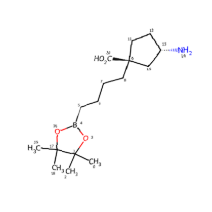 CC1(C)OB(CCCC[C@]2(C(=O)O)CC[C@H](N)C2)OC1(C)C